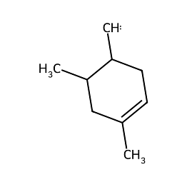 [CH]C1CC=C(C)CC1C